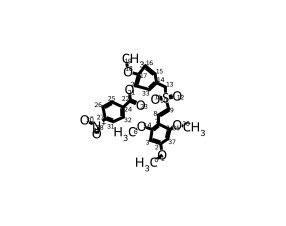 COc1cc(OC)c(/C=C/S(=O)(=O)Cc2ccc(OC)c(OC(=O)c3ccc([N+](=O)[O-])cc3)c2)c(OC)c1